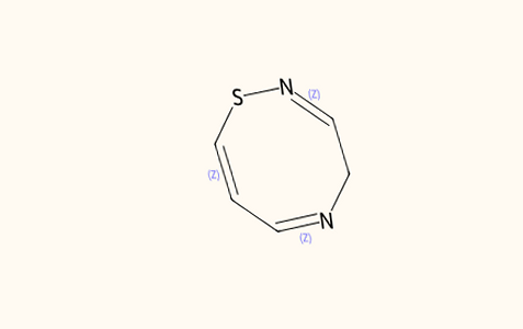 C1=C\S/N=C\C\N=C/1